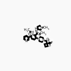 CCOC1(c2cccnc2)C=CC(N2CCN(C(=O)C3(C(F)(F)F)CCC3)C[C@H]2CC)=C(C(=O)N[C@@H]2CCN(C)C2)N1